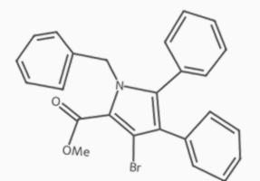 COC(=O)c1c(Br)c(-c2ccccc2)c(-c2ccccc2)n1Cc1ccccc1